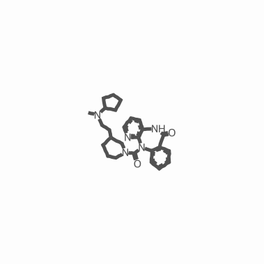 CN(CCC1CCCN(C(=O)N2c3ccccc3C(=O)Nc3cccnc32)C1)C1CCCC1